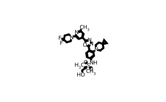 Cc1cc(-c2nnc(-c3ccc(NS(=O)(=O)C(C)(C)CO)cc3N3CCC4(CC3)CC4)o2)cc(N2CCC(F)(F)CC2)n1